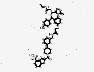 CCNC(=O)C[C@@H]1N=C(c2ccc(Cl)cc2)c2cc(OCC(=O)NCc3cccc(C4CCN(C(=O)c5cc6c([Si](C)(C)O)cccc6s5)CC4)c3)ccc2-n2c(C)nnc21